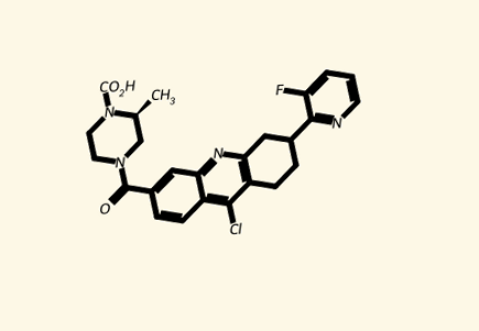 C[C@H]1CN(C(=O)c2ccc3c(Cl)c4c(nc3c2)CC(c2ncccc2F)CC4)CCN1C(=O)O